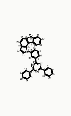 c1ccc(-c2nc(-c3ccccc3)nc(-c3cccc(-n4ccc5ccc6sc7ccccc7c6c54)c3)n2)cc1